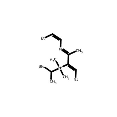 CC\C=C/N=C(C)/C(=C/CC)[N+](C)(C)C(C)C(C)(C)C